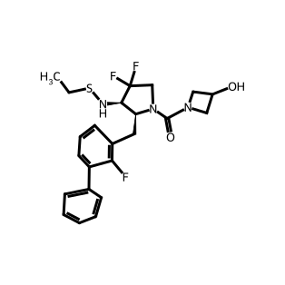 CCSN[C@@H]1[C@H](Cc2cccc(-c3ccccc3)c2F)N(C(=O)N2CC(O)C2)CC1(F)F